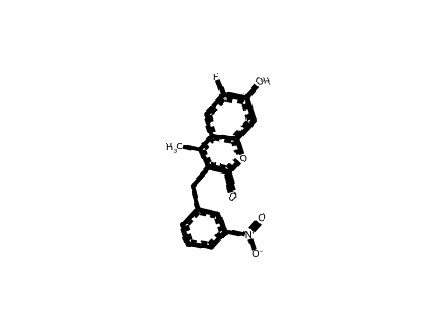 Cc1c(Cc2cccc([N+](=O)[O-])c2)c(=O)oc2cc(O)c(F)cc12